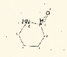 O=[PH]1CCCCN1